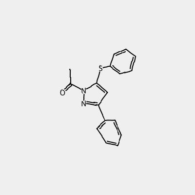 CC(=O)n1nc(-c2ccccc2)cc1Sc1ccccc1